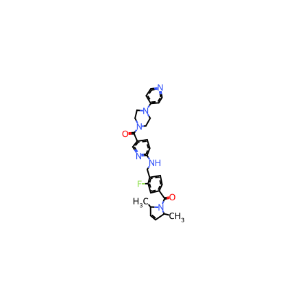 CC1C=CC(C)N1C(=O)c1ccc(CNc2ccc(C(=O)N3CCN(c4ccncc4)CC3)cn2)c(F)c1